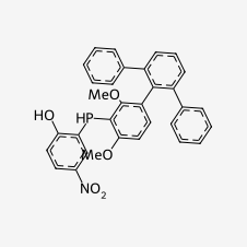 COc1ccc(-c2c(-c3ccccc3)cccc2-c2ccccc2)c(OC)c1Pc1cc([N+](=O)[O-])ccc1O